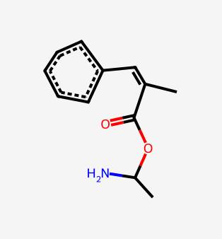 CC(=Cc1ccccc1)C(=O)OC(C)N